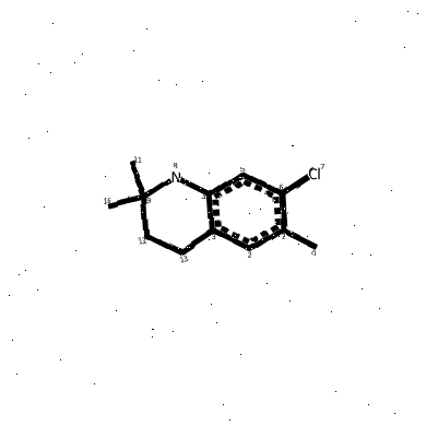 Cc1cc2c(cc1Cl)[N]C(C)(C)CC2